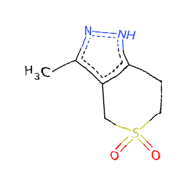 Cc1n[nH]c2c1CS(=O)(=O)CC2